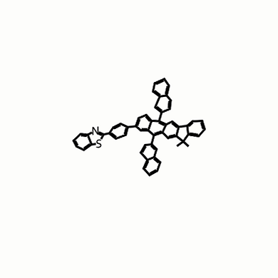 CC1(C)c2ccccc2-c2cc3c(-c4ccc5ccccc5c4)c4ccc(-c5ccc(-c6nc7ccccc7s6)cc5)cc4c(-c4ccc5ccccc5c4)c3cc21